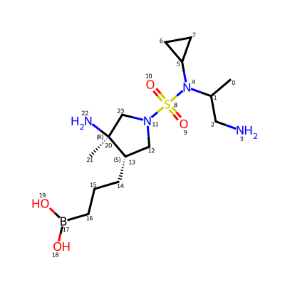 CC(CN)N(C1CC1)S(=O)(=O)N1C[C@H](CCCB(O)O)[C@@](C)(N)C1